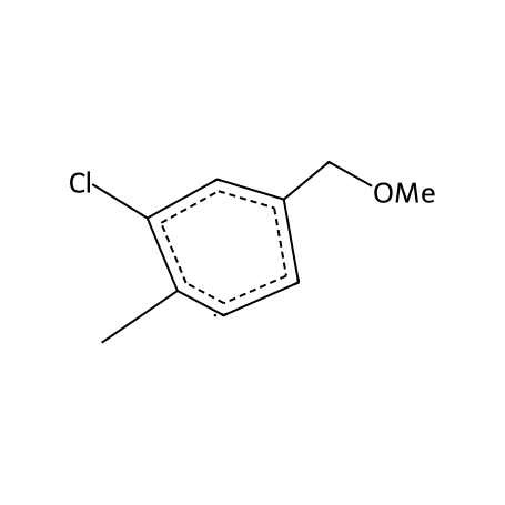 COCc1c[c]c(C)c(Cl)c1